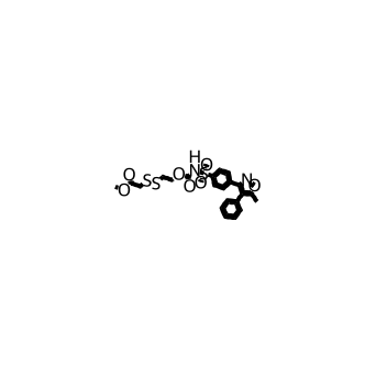 COC(=O)CSSCCOC(=O)NS(=O)(=O)c1ccc(-c2noc(C)c2-c2ccccc2)cc1